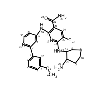 COc1cccc(-c2cc(Nc3nc(NC4CCCCC4N)c(F)cc3C(N)=O)ccn2)c1